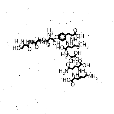 CSCC[C@H](N)C(=O)O.C[C@@H](O)[C@H](N)C(=O)O.C[C@H](N)C(=O)O.NC(=O)CC[C@H](N)C(=O)O.NCC(=O)O.NCCCC[C@H](N)C(=O)O.N[C@@H](CO)C(=O)O.N[C@@H](Cc1ccccc1)C(=O)O